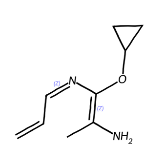 C=C/C=N\C(OC1CC1)=C(/C)N